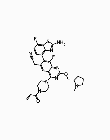 C=CC(=O)N1CCN(c2nc(OC[C@@H]3CCCN3C)nc3c(F)c(-c4ccc(F)c5sc(N)nc45)c(CC#N)cc23)CC1